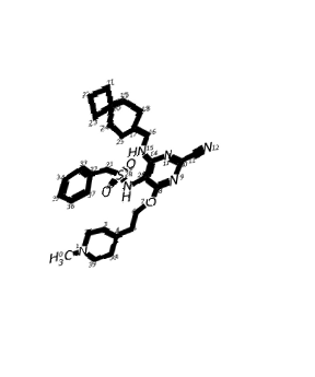 CN1CCC(CCOc2nc(C#N)nc(NCC3CCC4(CCC4)CC3)c2NS(=O)(=O)Cc2ccccc2)CC1